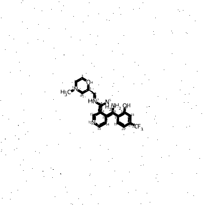 CN1CCO[C@@H](CN/C(N)=c2\cncc\c2=C(\N)c2ccc(C(F)(F)F)cc2O)C1